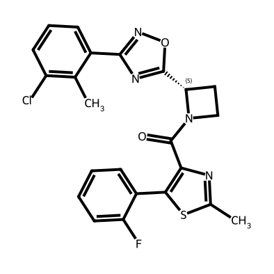 Cc1nc(C(=O)N2CC[C@H]2c2nc(-c3cccc(Cl)c3C)no2)c(-c2ccccc2F)s1